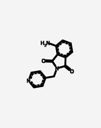 Nc1cccc2c1C(=O)N(Cc1ccncc1)C2=O